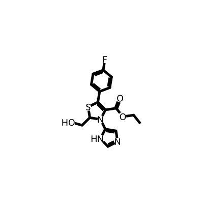 CCOC(=O)C1=C(c2ccc(F)cc2)SC(CO)N1c1cnc[nH]1